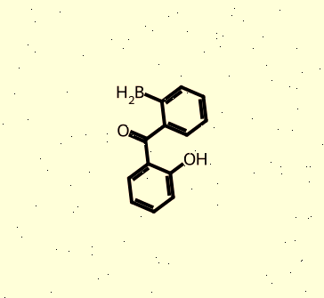 Bc1ccccc1C(=O)c1ccccc1O